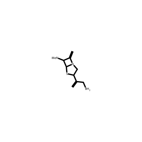 BCC(=C)C1CN2C(=C)C(NC)C2S1